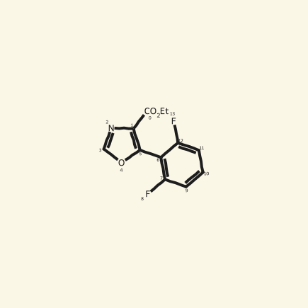 CCOC(=O)c1ncoc1-c1c(F)cccc1F